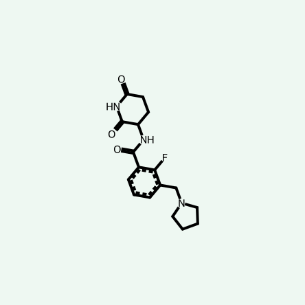 O=C1CCC(NC(=O)c2cccc(CN3CCCC3)c2F)C(=O)N1